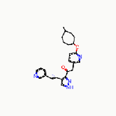 CC1CCCC(Oc2ccc(CC(=O)c3n[nH]cc3/C=C/c3cccnc3)cn2)CC1